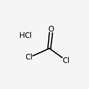 Cl.O=C(Cl)Cl